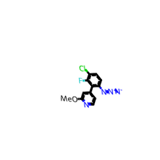 COc1cc(-c2c(N=[N+]=[N-])ccc(Cl)c2F)ccn1